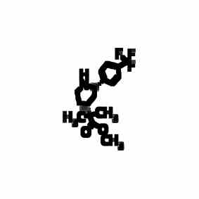 COC(=O)C(C)(C)[C@@H]1CCN[C@H](c2ccc(C(F)(F)F)cc2)C1